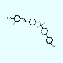 CCCc1ccc(C2CCC(C(F)(F)OC3CCC(/C=C/c4ccc(C(F)(F)F)c(F)c4)CC3)CC2)cc1